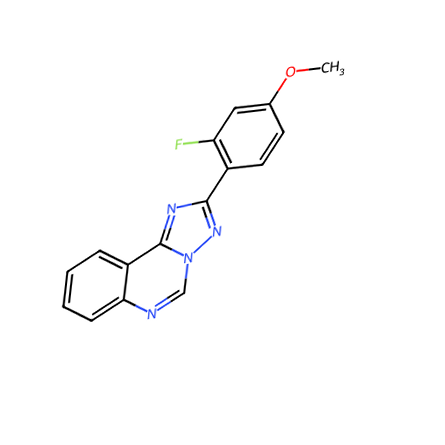 COc1ccc(-c2nc3c4ccccc4ncn3n2)c(F)c1